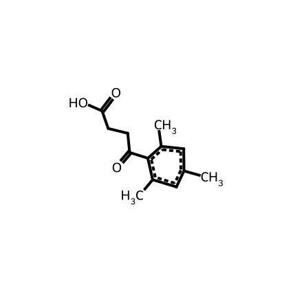 Cc1cc(C)c(C(=O)CCC(=O)O)c(C)c1